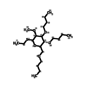 CCCCOCC1OC(SCC)[C@@H](OC)C(OCCCC)[C@@H]1OCCCC